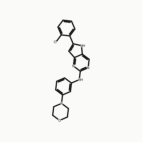 Clc1ccccc1-c1cc2nc(Nc3cccc(N4CCOCC4)c3)ncc2[nH]1